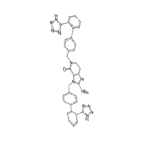 CCCCc1nc2ccn(Cc3ccc(-c4ccccc4-c4nnn[nH]4)cc3)c(=O)c2n1Cc1ccc(-c2ccccc2-c2nnn[nH]2)cc1